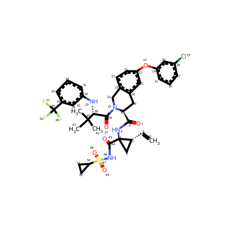 C=C[C@@H]1C[C@]1(NC(=O)[C@@H]1Cc2cc(Oc3cccc(Cl)c3)ccc2CN1C(=O)[C@@H](Nc1cccc(C(F)(F)F)c1)C(C)(C)C)C(=O)NS(=O)(=O)C1CC1